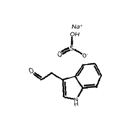 O=CCc1c[nH]c2ccccc12.O=S([O-])O.[Na+]